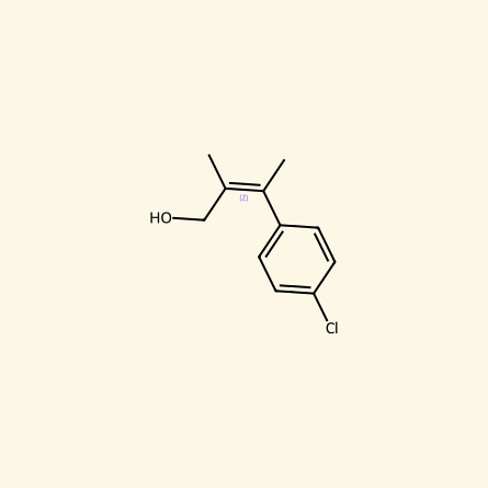 C/C(CO)=C(\C)c1ccc(Cl)cc1